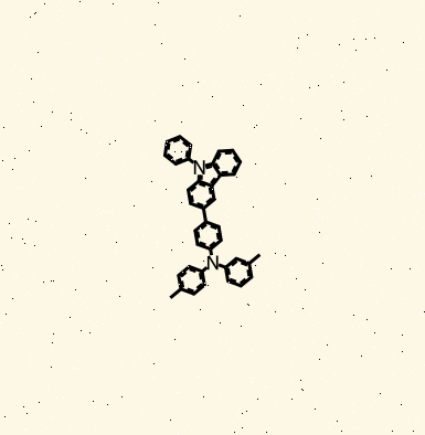 Cc1ccc(N(c2ccc(-c3ccc4c(c3)c3ccccc3n4-c3ccccc3)cc2)c2cccc(C)c2)cc1